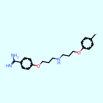 [CH]c1ccc(OCCCNCCCOc2ccc(C(=N)N)cc2)cc1